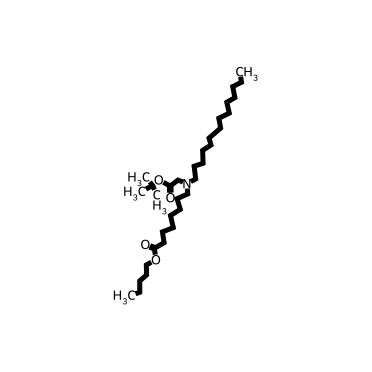 CCCCCCCCCCCCCCN(CCCCCCCC(=O)OCCCCC)CC(=O)OC(C)(C)C